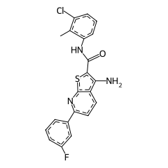 Cc1c(Cl)cccc1NC(=O)c1sc2nc(-c3cccc(F)c3)ccc2c1N